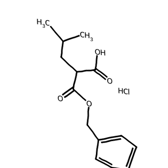 CC(C)CC(C(=O)O)C(=O)OCc1ccccc1.Cl